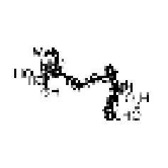 CNCCC(=O)Nc1cc(/C=C/COON(C)CCOCCOCCOC23CC(C)(C)CC(C)(CC(C)(CN/C(C)=C(\C=N)c4ccc(N5CCc6cccc(C=O)c6C5)nc4C(=O)O)C2)C3)ccc1OC(CC(O)CCO)C(=O)O